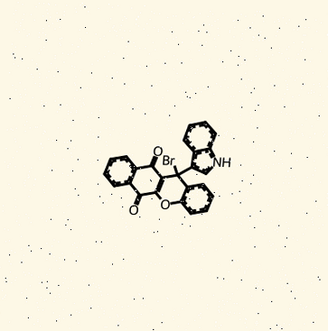 O=C1C2=C(C(=O)c3ccccc31)C(Br)(c1c[nH]c3ccccc13)c1ccccc1O2